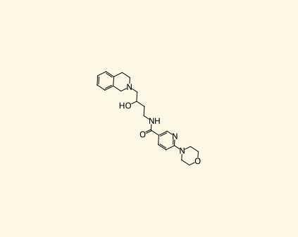 O=C(NCCC(O)CN1CCc2ccccc2C1)c1ccc(N2CCOCC2)nc1